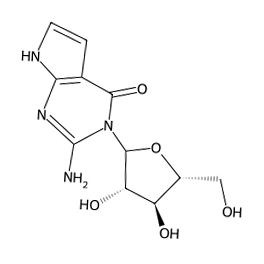 Nc1nc2[nH]ccc2c(=O)n1C1O[C@H](CO)[C@@H](O)[C@@H]1O